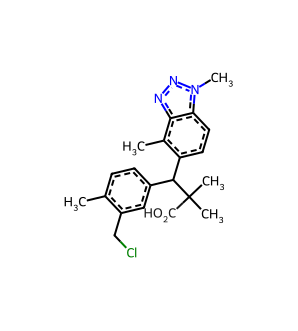 Cc1ccc(C(c2ccc3c(nnn3C)c2C)C(C)(C)C(=O)O)cc1CCl